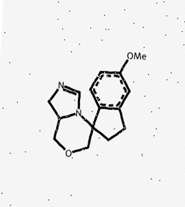 COc1ccc2c(c1)CCC21COCC2CN=CN21